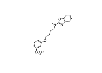 CN(CCCCOc1cccc(C(=O)O)c1)c1nc2ccccc2o1